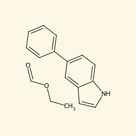 CCOC=O.c1ccc(-c2ccc3[nH]ccc3c2)cc1